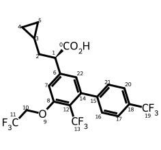 O=C(O)[C@H](CC1CC1)c1cc(OCC(F)(F)F)c(C(F)(F)F)c(-c2ccc(C(F)(F)F)cc2)c1